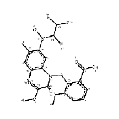 CCc1cccc(C(=O)O)c1CN(C(=O)C(=O)OC)c1cc([S+]([O-])C(F)C(F)F)c(C)cc1F